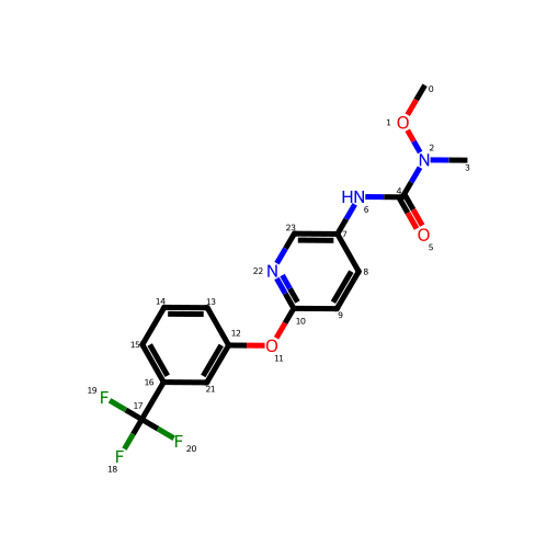 CON(C)C(=O)Nc1ccc(Oc2cccc(C(F)(F)F)c2)nc1